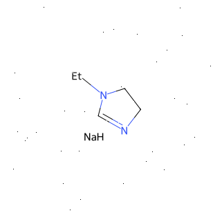 CCN1C=NCC1.[NaH]